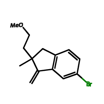 C=C1c2cc(Br)ccc2CC1(C)CCOC